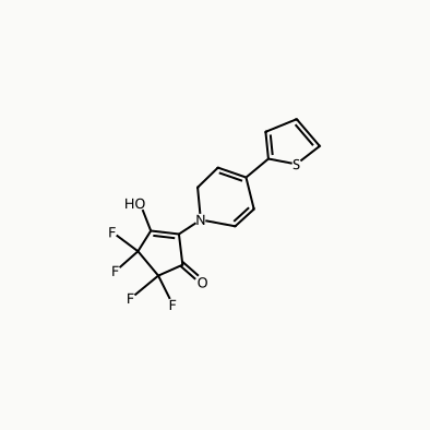 O=C1C(N2C=CC(c3cccs3)=CC2)=C(O)C(F)(F)C1(F)F